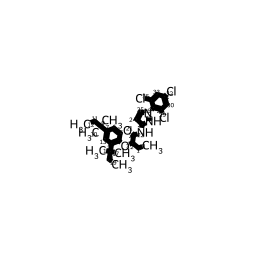 CCC(Oc1ccc(C(C)(C)CC)cc1C(C)(C)CC)C(=O)N[C]1C=CN(c2c(Cl)cc(Cl)cc2Cl)N1